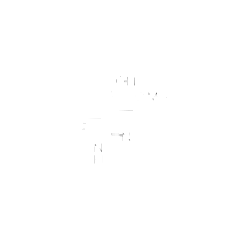 COc1cnc2[nH]ccc2c1CO